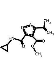 C=C(C)c1noc(C(=O)NC2CC2)c1C(=O)OC